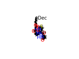 CCCCCCCCCCCCCCOC(=O)CNC(=O)[C@@H]1CCCN1C(=O)[C@H](Cc1cscn1)NC(=O)[C@@H]1CCC(=O)N1